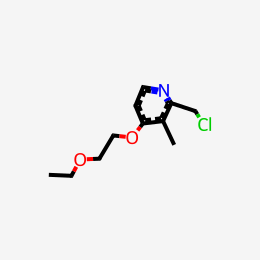 CCOCCOc1ccnc(CCl)c1C